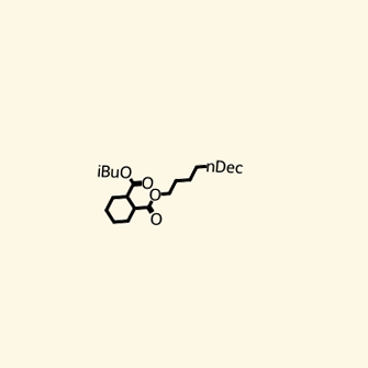 CCCCCCCCCCCCCCOC(=O)C1CCCCC1C(=O)OCC(C)C